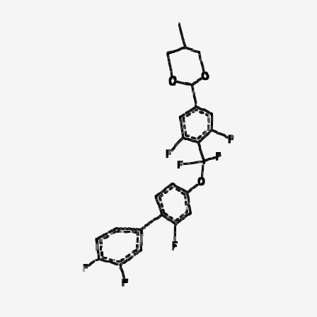 CC1COC(c2cc(F)c(C(F)(F)Oc3ccc(-c4ccc(F)c(F)c4)c(F)c3)c(F)c2)OC1